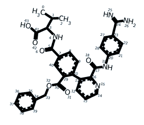 CC(C)C(NC(=O)c1ccc(-c2cccnc2C(=O)Nc2ccc(C(=N)N)cc2)c(C(=O)OCc2ccccc2)c1)C(=O)O